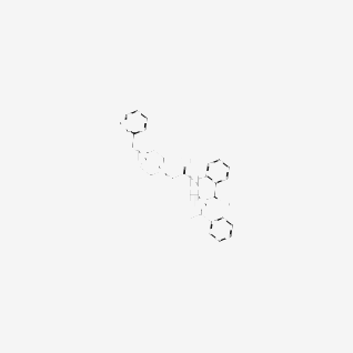 CC(NC(=O)c1ccccc1NC(=O)CN1CCN(Cc2ccccn2)CC1)c1ccccc1